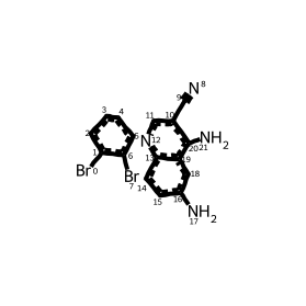 Brc1ccccc1Br.N#Cc1cnc2ccc(N)cc2c1N